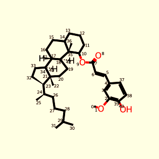 COc1cc(C=CC(=O)OC2CCCC3CC[C@@H]4[C@H](CC[C@]5(C)[C@@H]([C@H](C)CCCC(C)C)CC[C@@H]45)[C@]32C)ccc1O